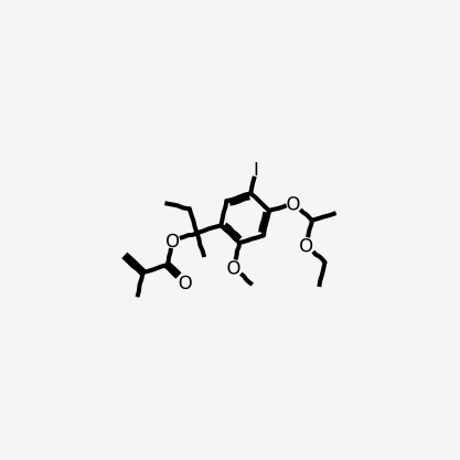 C=C(C)C(=O)OC(C)(CC)c1cc(I)c(OC(C)OCC)cc1OC